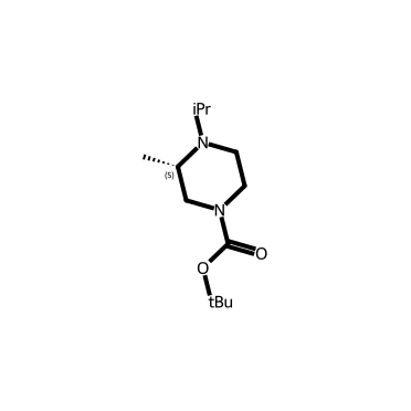 CC(C)N1CCN(C(=O)OC(C)(C)C)C[C@@H]1C